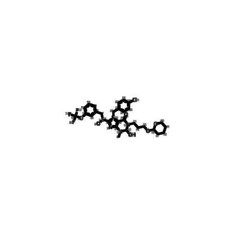 CN1c2nc([S+]([O-])Cc3cccc(OC(F)(F)F)c3)n(Cc3ccc(Cl)cc3)c2C(=O)N(CCCOC2CCCCO2)C1O